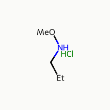 CCCNOC.Cl